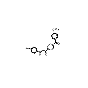 COc1ccc(C(=O)N2CCN(C(=O)CNc3ccc(C(C)=O)cc3)CC2)cc1